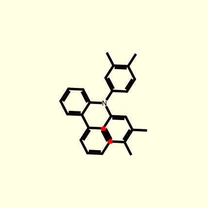 Cc1ccc(N(c2ccc(C)c(C)c2)c2ccccc2-c2ccccc2)cc1C